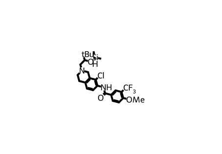 COc1ccc(C(=O)Nc2ccc3c(c2Cl)CN(CC(O[SiH](C)C)C(C)(C)C)CC3)cc1C(F)(F)F